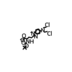 COC(=O)C(CCc1nc2cc(N(CCCl)CCCl)ccc2n1C)NC(=O)OC(C)(C)C